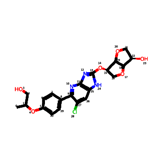 CC(CO)Oc1ccc(-c2nc3nc(O[C@@H]4COC5C4OC[C@H]5O)[nH]c3cc2Cl)cc1